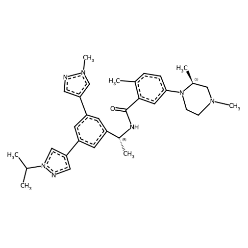 Cc1ccc(N2CCN(C)C[C@@H]2C)cc1C(=O)N[C@H](C)c1cc(-c2cnn(C)c2)cc(-c2cnn(C(C)C)c2)c1